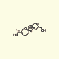 CNC1(OC2CC(CO)OCC2C)CCC=C([C@@H](C)O)CO1